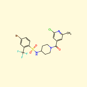 Cc1cc(C(=O)N2CCC(NS(=O)(=O)c3ccc(Br)cc3C(F)(F)F)CC2)cc(Cl)n1